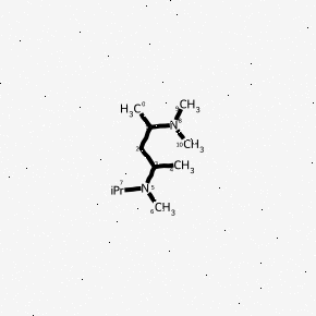 CC(CC(C)N(C)C(C)C)N(C)C